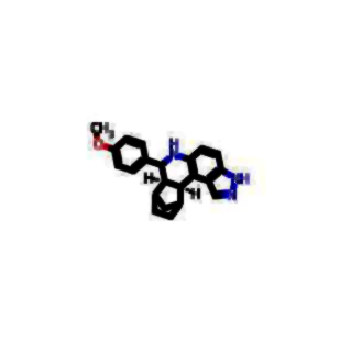 COc1ccc(C2Nc3ccc4[nH]ncc4c3[C@H]3C4CCC(C4)[C@@H]23)cc1